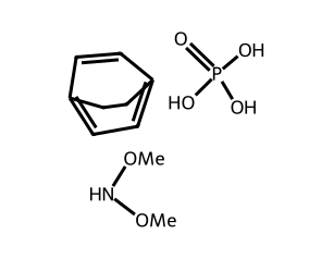 CONOC.O=P(O)(O)O.c1cc2ccc1CC2